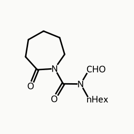 CCCCCCN(C=O)C(=O)N1CCCCCC1=O